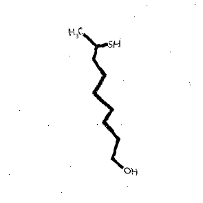 CC(S)CCCCCCCO